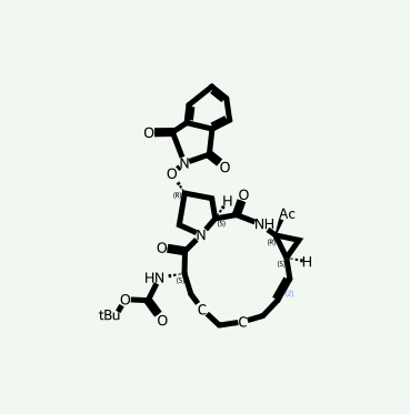 CC(=O)[C@@]12C[C@H]1/C=C\CCCCC[C@H](NC(=O)OC(C)(C)C)C(=O)N1C[C@H](ON3C(=O)c4ccccc4C3=O)C[C@H]1C(=O)N2